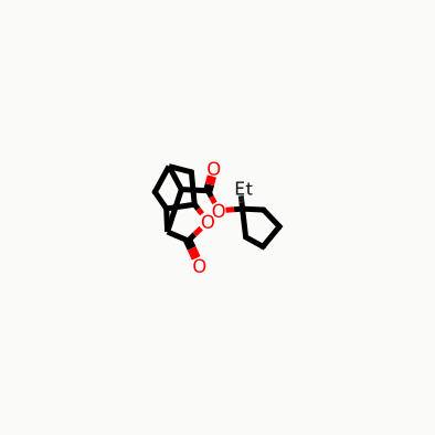 CCC1(OC(=O)C2C3CC4OC(=O)C2C4C3)CCCC1